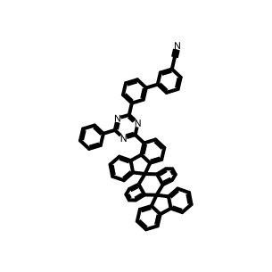 N#Cc1cccc(-c2cccc(-c3nc(-c4ccccc4)nc(-c4cccc5c4-c4ccccc4C54c5ccccc5C5(c6ccccc6-c6ccccc65)c5ccccc54)n3)c2)c1